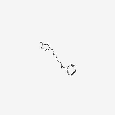 S=c1[nH]cc(CSCCCOc2ccccc2)o1